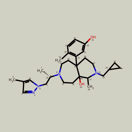 Cc1cnn(C[C@H](C)N2CCC3(c4cc(O)ccc4C)CCN(CC4CC4)C(C)C3(O)CC2)c1